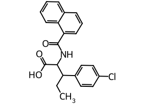 CCC(c1ccc(Cl)cc1)C(NC(=O)c1cccc2ccccc12)C(=O)O